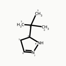 CC(C)(C)C1CC=NN1